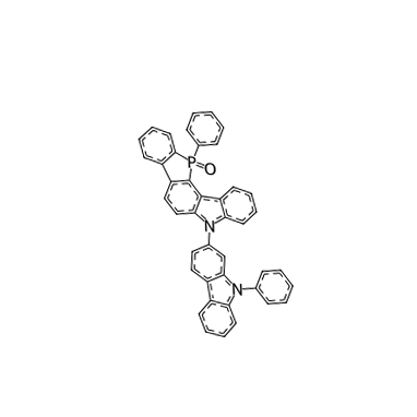 O=P1(c2ccccc2)c2ccccc2-c2ccc3c(c21)c1ccccc1n3-c1ccc2c3ccccc3n(-c3ccccc3)c2c1